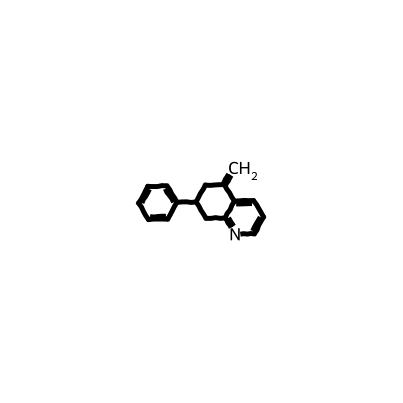 C=C1CC(c2ccccc2)Cc2ncccc21